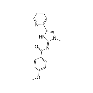 COc1ccc(C(=O)/N=c2\[nH]c(-c3ccccn3)cn2C)cc1